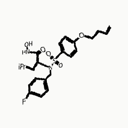 C=CCCOc1ccc(S(=O)(=O)N(Cc2ccc(F)cc2)C(CC(C)C)C(=O)NO)cc1